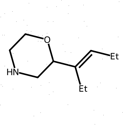 CCC=C(CC)C1CNCCO1